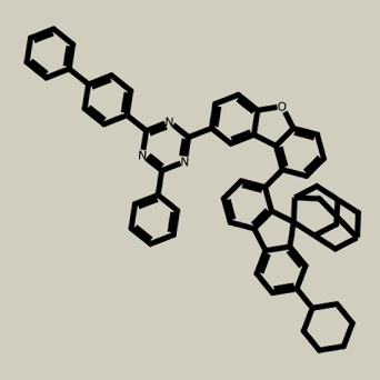 c1ccc(-c2ccc(-c3nc(-c4ccccc4)nc(-c4ccc5oc6cccc(-c7cccc8c7C7(c9cc(C%10CCCCC%10)ccc9-8)C8CC9CC(C8)CC7C9)c6c5c4)n3)cc2)cc1